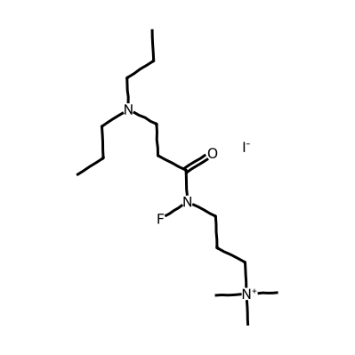 CCCN(CCC)CCC(=O)N(F)CCC[N+](C)(C)C.[I-]